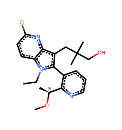 CCn1c(-c2cccnc2[C@H](C)OC)c(CC(C)(C)CO)c2nc(Cl)ccc21